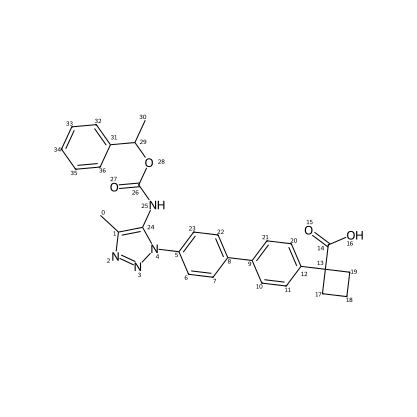 Cc1nnn(-c2ccc(-c3ccc(C4(C(=O)O)CCC4)cc3)cc2)c1NC(=O)OC(C)c1ccccc1